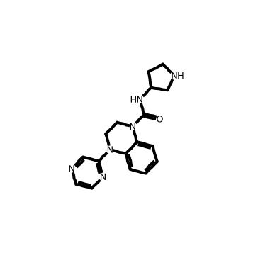 O=C(NC1CCNC1)N1CCN(c2cnccn2)c2ccccc21